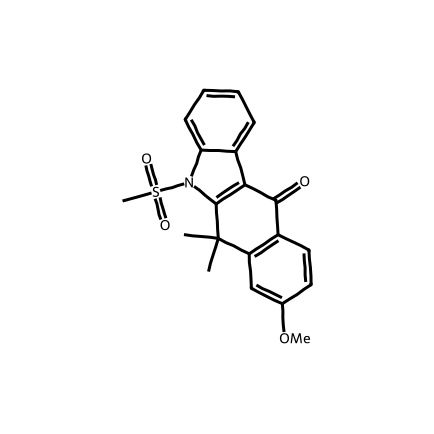 COc1ccc2c(c1)C(C)(C)c1c(c3ccccc3n1S(C)(=O)=O)C2=O